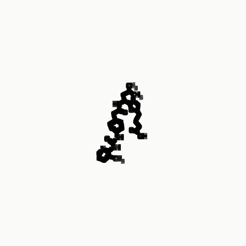 Cc1cccnc1NC(=O)Nc1ccc(CC(=O)NC(CC(C)C)C2=NCC(CCCC(=O)O)O2)cc1